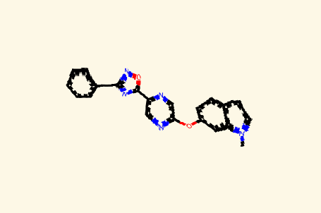 Cn1[c]cc2ccc(Oc3cnc(-c4nc(-c5ccccc5)no4)cn3)cc21